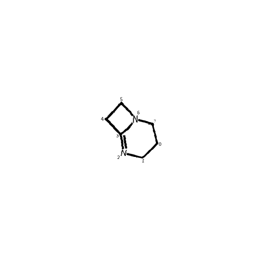 C1CN=C2CCN2C1